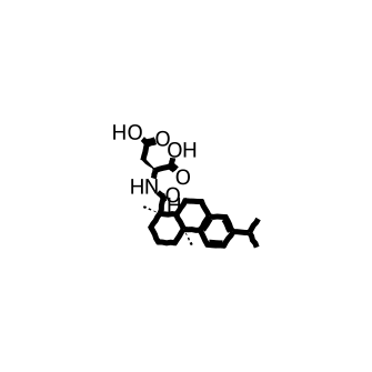 CC(C)c1ccc2c(c1)CC[C@H]1[C@](C)(C(=O)N[C@@H](CC(=O)O)C(=O)O)CCC[C@]21C